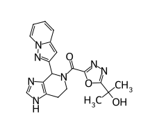 CC(C)(O)c1nnc(C(=O)N2CCc3[nH]cnc3C2c2cc3ccccn3n2)o1